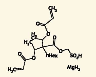 C=CC(=O)OC(C)C(CCCCCC)(C(=O)OCS(=O)(=O)O)C(C)OC(=O)C=C.[MgH2]